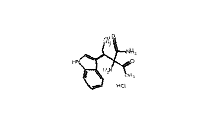 CC(=O)C(N)(C(N)=O)C(C)c1c[nH]c2ccccc12.Cl